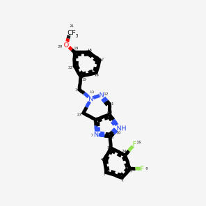 Fc1cccc(-c2nc3c([nH]2)C=NN(Cc2cccc(OC(F)(F)F)c2)C3)c1F